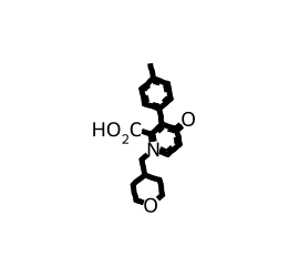 Cc1ccc(-c2c(C(=O)O)n(CC3CCOCC3)ccc2=O)cc1